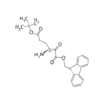 CC(C)(C)OC(=O)CC[C@H](N)C(=O)C(=O)OCC1c2ccccc2-c2ccccc21